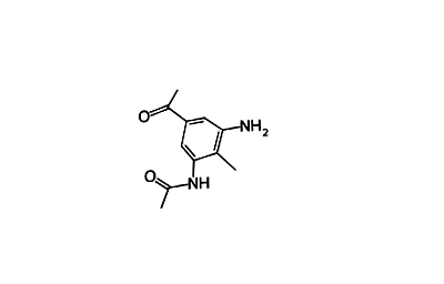 CC(=O)Nc1cc(C(C)=O)cc(N)c1C